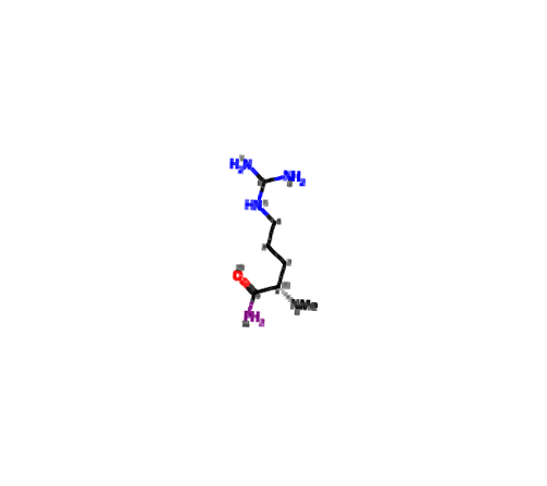 CN[C@@H](CCCNC(N)N)C(=O)P